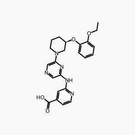 CCOc1ccccc1O[C@@H]1CCCN(c2cncc(Nc3cc(C(=O)O)ccn3)n2)C1